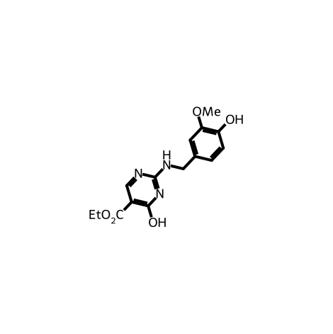 CCOC(=O)c1cnc(NCc2ccc(O)c(OC)c2)nc1O